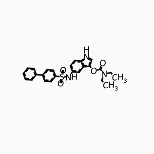 CCN(CC)C(=O)Oc1c[nH]c2ccc(NS(=O)(=O)c3ccc(-c4ccccc4)cc3)cc12